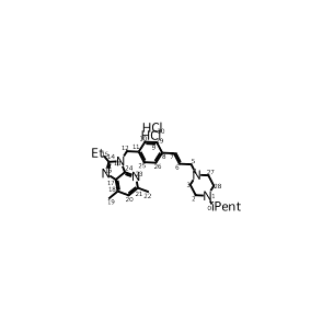 CCCC(C)N1CCN(CC=Cc2ccc(Cn3c(CC)nc4c(C)cc(C)nc43)cc2)CC1.Cl.Cl